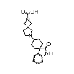 O=C(O)N1CC2(CCN(C3CCC4(CC3)C(=O)Nc3ccccc34)C2)C1